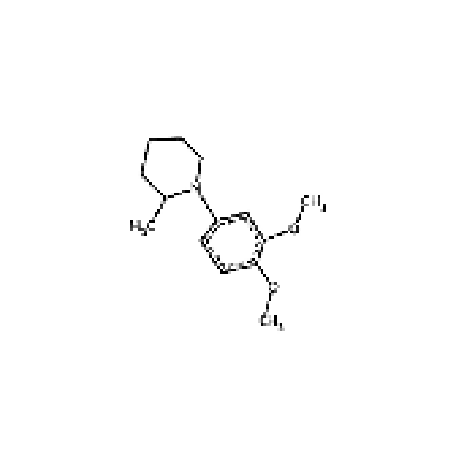 COc1ccc(N2CCCCC2C)cc1OC